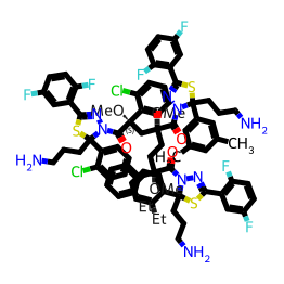 CCc1ccccc1C(CCC(C[C@@](OC)(C(=O)N1N=C(c2cc(F)ccc2F)SC1(CCCN)c1ccccc1Cl)c1ccccc1Cl)(OC)C(=O)N1N=C(c2cc(F)ccc2F)SC1(CCCN)c1cc(C)cc(C)c1)(OC)C(=O)N1N=C(c2cc(F)ccc2F)SC1(CCCN)c1ccccc1CC